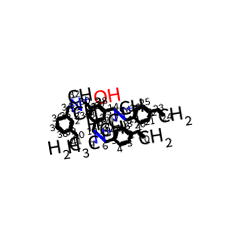 C=Cc1ccc(C[N+](C)(C)Cc2cc(C[N+](C)(C)Cc3ccc(C=C)cc3)c(O)c(C[N+](C)(C)Cc3cccc(C=C)c3)c2)cc1